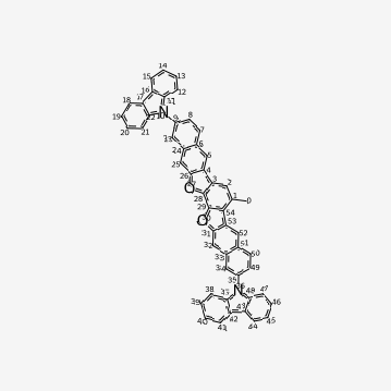 Cc1cc2c3cc4ccc(-n5c6ccccc6c6ccccc65)cc4cc3oc2c2oc3cc4cc(-n5c6ccccc6c6ccccc65)ccc4cc3c12